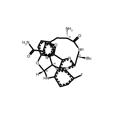 CC(C)(C)[C@@H]1NC(=O)[C@@H](N)Cc2ccc3c(c2)[C@@]2(c4cc(F)ccc4N[C@@H]2O3)c2oc1nc2-c1nc(C(N)=O)co1